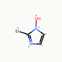 CCc1nccn1O